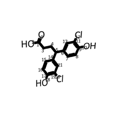 O=C(O)CCC(c1ccc(O)c(Cl)c1)c1ccc(O)c(Cl)c1